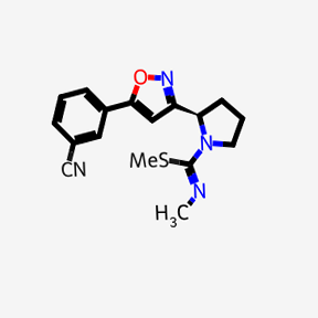 C/N=C(\SC)N1CCC[C@@H]1c1cc(-c2cccc(C#N)c2)on1